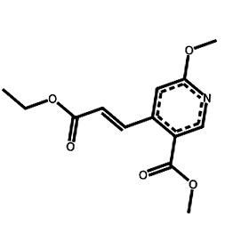 CCOC(=O)C=Cc1cc(OC)ncc1C(=O)OC